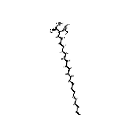 CCCCCCCCCCCCCCCCCCCCCCC(C(=O)O)N(C)C